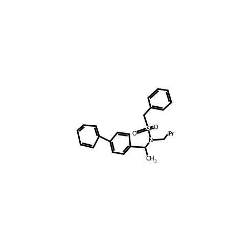 CC(C)CN(C(C)c1ccc(-c2ccccc2)cc1)S(=O)(=O)Cc1ccccc1